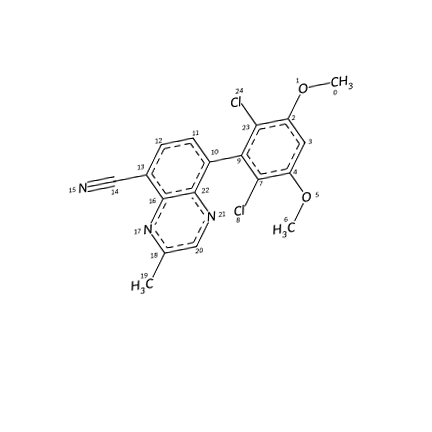 COc1cc(OC)c(Cl)c(-c2ccc(C#N)c3nc(C)cnc23)c1Cl